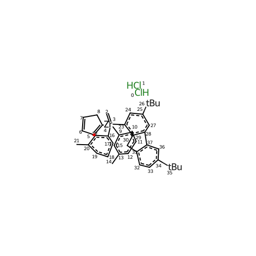 Cl.Cl.[CH2]=[Zr]([C]1=CC=CC1)([c]1cccc(C)c1)([c]1cccc(C)c1)[c]1cc(C(C)(C)C)cc2c1Cc1ccc(C(C)(C)C)cc1-2